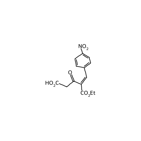 CCOC(=O)C(=Cc1ccc([N+](=O)[O-])cc1)C(=O)CC(=O)O